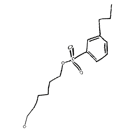 CCCc1cccc(S(=O)(=O)OCCCCCC[O])c1